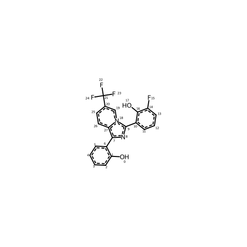 Oc1ccccc1-c1nc(-c2cccc(F)c2O)n2cc(C(F)(F)F)ccc12